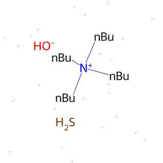 CCCC[N+](CCCC)(CCCC)CCCC.S.[OH-]